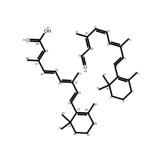 CC(C=CC1=C(C)CCCC1(C)C)=C/C=C\C(C)=CC=O.CC(C=CC1=C(C)CCCC1(C)C)=CC=CC(C)=CC(=O)O